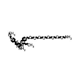 CCCCc1nc2c(N)nc3cc(C4CCN(CCOC)CC4)sc3c2n1CC1CCN(CCOCCOCCOCCOCCOCCOCCOCCOCCN)CC1